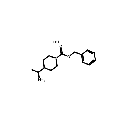 CC(N)C1CCN(C(=O)OCc2ccccc2)CC1.Cl